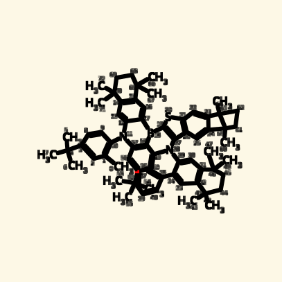 Cc1cc(C(C)(C)C)ccc1N1c2cc3c(cc2B2c4sc5cc6c(cc5c4N(c4cc5c(cc4-c4ccccc4)C(C)(C)CCC5(C)C)c4cc(C(C)(C)C)cc1c42)C1(C)CCC61C)C(C)(C)CCC3(C)C